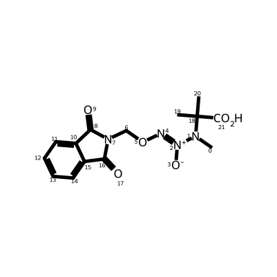 CN([N+]([O-])=NOCN1C(=O)c2ccccc2C1=O)C(C)(C)C(=O)O